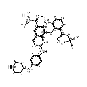 C=C(c1cc2cnc(Nc3ccc(NC4CCNCC4)cc3)nc2n(Cc2c(F)cccc2C(=O)CC(F)(F)F)c1=O)N(C)C